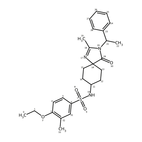 CCOc1ccc(S(=O)(=O)NC2CCC3(CC2)N=C(C)N(C(C)c2ccccc2)C3=O)cc1C